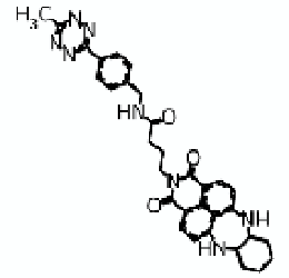 Cc1nnc(-c2ccc(CNC(=O)CCCN3C(=O)c4ccc5c6c(ccc(c46)C3=O)NC3CCCCC3N5)cc2)nn1